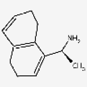 C[C@H](N)C1=CCCC2=C1CCC=C2